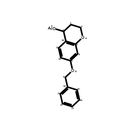 CC(=O)OC1CCOc2cc(OCc3ccccc3)ccc21